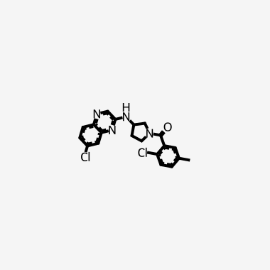 Cc1ccc(Cl)c(C(=O)N2CCC(Nc3cnc4ccc(Cl)cc4n3)C2)c1